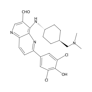 CN(C)C[C@H]1CC[C@H](Nc2c(C=O)cnc3ccc(-c4cc(Cl)c(O)c(Cl)c4)nc23)CC1